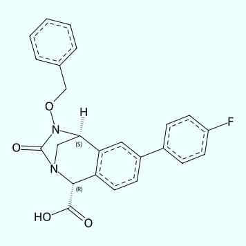 O=C(O)[C@H]1c2ccc(-c3ccc(F)cc3)cc2[C@H]2CN1C(=O)N2OCc1ccccc1